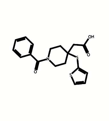 O=C(O)CC1(Sc2cccs2)CCN(C(=O)c2ccccc2)CC1